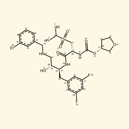 CCCC(CCC)S(=O)(=O)C[C@H](NC(=O)O[C@@H]1CCOC1)C(=O)N[C@@H](Cc1cc(F)cc(F)c1)[C@H](O)CNCc1cccc(CC)c1